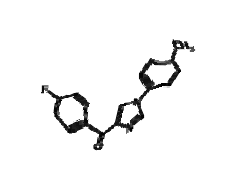 Cc1ccc(-n2cnc(C(=O)c3ccc(F)cc3)c2)cc1